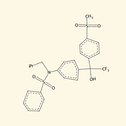 CC(C)CN(c1ccc(C(O)(c2ccc(S(C)(=O)=O)cc2)C(F)(F)F)cc1)S(=O)(=O)c1ccccc1